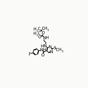 CSc1ncc(C(=O)Nc2ccc(F)cc2)c(NCCNC(=O)OC(C)(C)C)n1